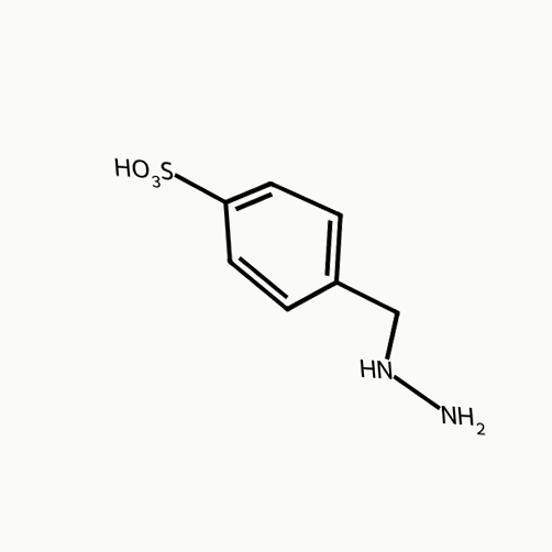 NNCc1ccc(S(=O)(=O)O)cc1